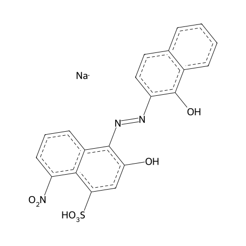 O=[N+]([O-])c1cccc2c(N=Nc3ccc4ccccc4c3O)c(O)cc(S(=O)(=O)O)c12.[Na]